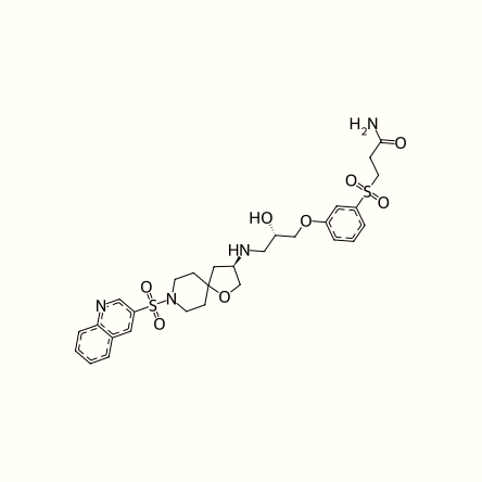 NC(=O)CCS(=O)(=O)c1cccc(OC[C@@H](O)CN[C@H]2COC3(CCN(S(=O)(=O)c4cnc5ccccc5c4)CC3)C2)c1